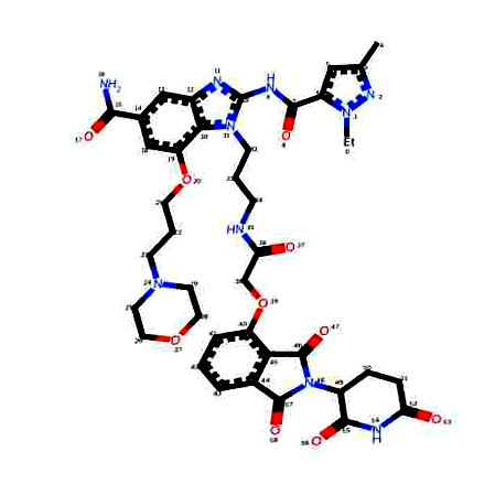 CCn1nc(C)cc1C(=O)Nc1nc2cc(C(N)=O)cc(OCCCN3CCOCC3)c2n1CCCNC(=O)COc1cccc2c1C(=O)N(C1CCC(=O)NC1=O)C2=O